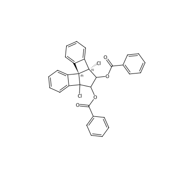 O=C(OC1C(OC(=O)c2ccccc2)[C@]2(Cl)c3ccccc3[C@@]23c2ccccc2C13Cl)c1ccccc1